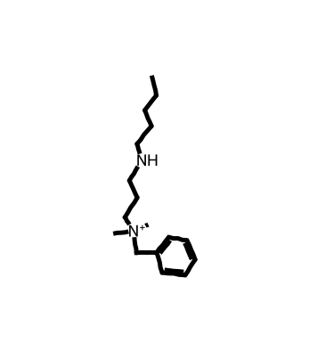 CCCCCNCCC[N+](C)(C)Cc1ccccc1